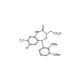 COc1cccc(C2OC(CC(=O)O)C(=S)Nc3cc(C(F)(F)F)c(Cl)cc32)c1OC